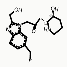 O=C(C[C@H]1NCCC[C@@H]1O)Cn1c(CO)nc2ccc(CF)cc21